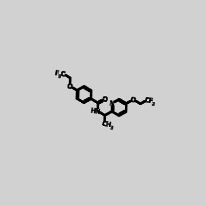 CC(NC(=O)c1ccc(OCC(F)(F)F)cc1)c1ccc(OCC(F)(F)F)cn1